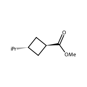 COC(=O)[C@H]1C[C@H](C(C)C)C1